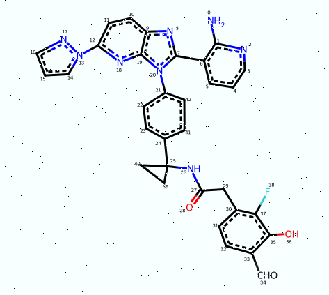 Nc1ncccc1-c1nc2ccc(-n3cccn3)nc2n1-c1ccc(C2(NC(=O)Cc3ccc(C=O)c(O)c3F)CC2)cc1